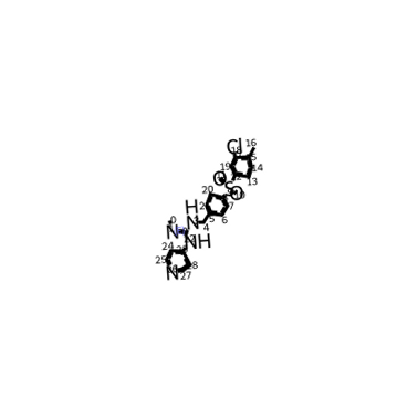 C/N=C(\NCc1ccc(S(=O)(=O)c2ccc(C)c(Cl)c2)cc1)Nc1ccncc1